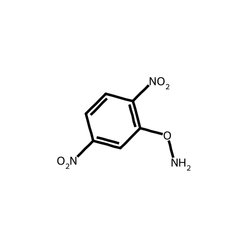 NOc1cc([N+](=O)[O-])ccc1[N+](=O)[O-]